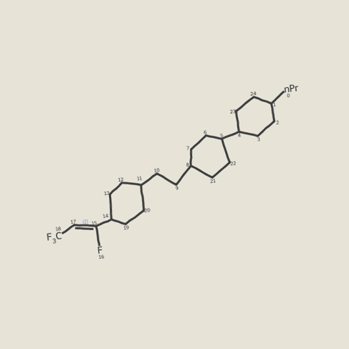 CCCC1CCC(C2CCC(CCC3CCC(/C(F)=C/C(F)(F)F)CC3)CC2)CC1